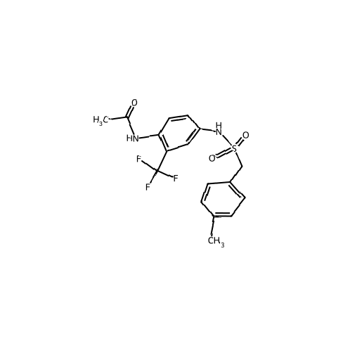 CC(=O)Nc1ccc(NS(=O)(=O)Cc2ccc(C)cc2)cc1C(F)(F)F